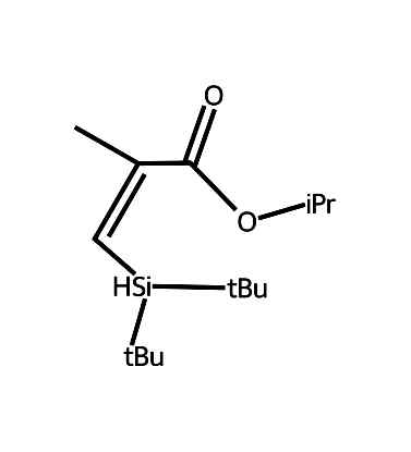 CC(=C[SiH](C(C)(C)C)C(C)(C)C)C(=O)OC(C)C